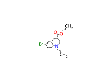 C=CCOC(=O)C1=Cc2cc(Br)ccc2N(CC=C)CC1